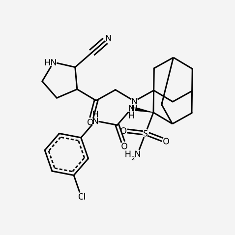 N#CC1NCCC1C(=O)CNC12CC3CC(CC(C3)[C@]1(NC(=O)Nc1cccc(Cl)c1)S(N)(=O)=O)C2